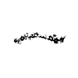 CCn1c2ccc(CNCCCCCN3CCCn4nc(C(=O)Nc5nc6ccc(NS(=O)(=O)c7cccs7)cc6s5)cc4C3)cc2c2ccc(-c3cc(C)cs3)cc21